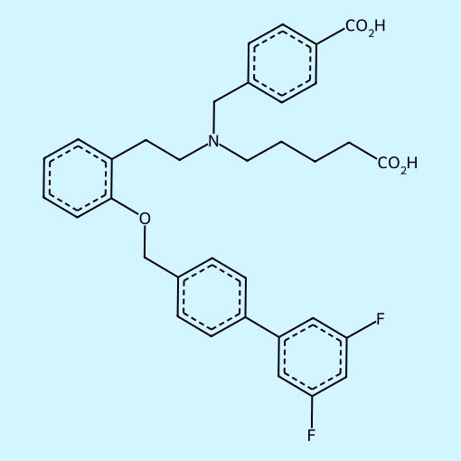 O=C(O)CCCCN(CCc1ccccc1OCc1ccc(-c2cc(F)cc(F)c2)cc1)Cc1ccc(C(=O)O)cc1